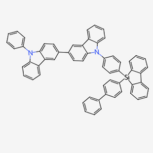 c1ccc(-c2ccc([Si]3(c4ccc(-n5c6ccccc6c6cc(-c7ccc8c(c7)c7ccccc7n8-c7ccccc7)ccc65)cc4)c4ccccc4-c4ccccc43)cc2)cc1